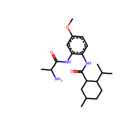 COc1ccc(NC(=O)C2CC(C)CCC2C(C)C)c(NC(=O)C(C)N)c1